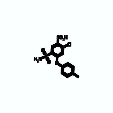 Cc1ccc(Oc2cc(Cl)c(S(=O)(=O)O)cc2S(N)(=O)=O)cc1